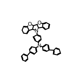 C1=C2OC3C4Oc5ccccc5C4N(c4ccc(N(c5ccc(-c6ccccc6)cc5)c5ccc(-c6ccccc6)cc5)cc4)C3C2=CCC1